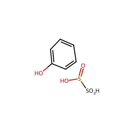 O=S(O)S(=O)(=O)O.Oc1ccccc1